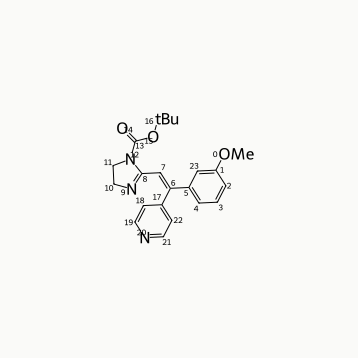 COc1cccc(C(=CC2=NCCN2C(=O)OC(C)(C)C)c2ccncc2)c1